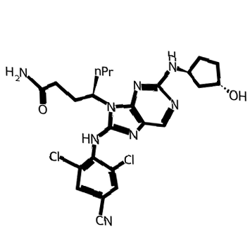 CCC[C@H](CCC(N)=O)n1c(Nc2c(Cl)cc(C#N)cc2Cl)nc2cnc(N[C@H]3CC[C@H](O)C3)nc21